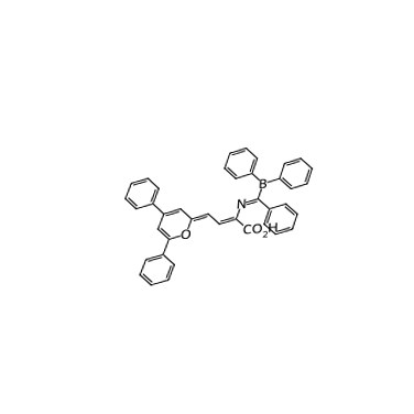 O=C(O)C(=CC=C1C=C(c2ccccc2)C=C(c2ccccc2)O1)N=C(B(c1ccccc1)c1ccccc1)c1ccccc1